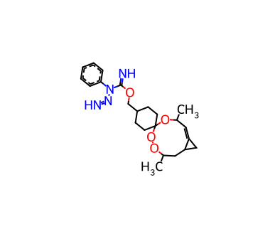 CC1/C=C2/CC2CC(C)OOC2(CCC(COC(=N)N(N=N)c3ccccc3)CC2)O1